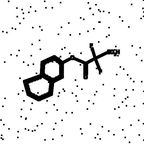 O=C(Oc1ccc2ccccc2c1)C(F)(F)S(=O)(=O)O